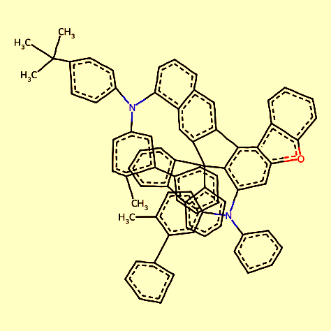 Cc1ccc(N(c2ccccc2)c2cc3oc4ccccc4c3c3c2C2(c4ccccc4-c4ccccc42)c2cc4c(N(c5ccc(C(C)(C)C)cc5)c5ccc(C)c(-c6ccccc6)c5)cccc4cc2-3)cc1-c1ccccc1